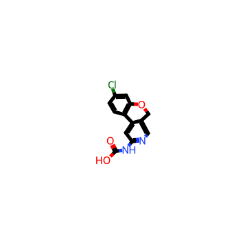 O=C(O)Nc1cc2c(cn1)COc1cc(Cl)ccc1-2